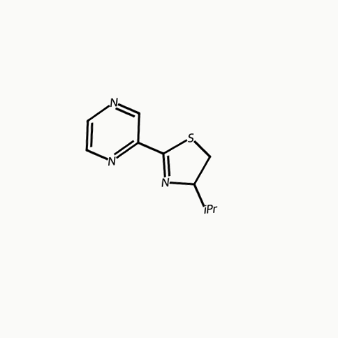 CC(C)C1CSC(c2cnccn2)=N1